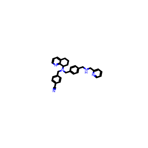 N#Cc1ccc(CN(Cc2ccc(CNCc3ccccn3)cc2)C2CCCc3cccnc32)cc1